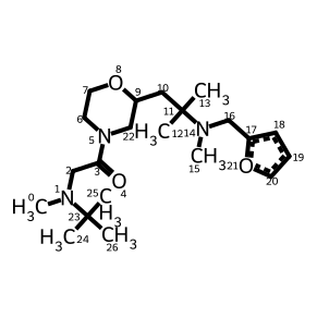 CN(CC(=O)N1CCOC(CC(C)(C)N(C)Cc2ccco2)C1)C(C)(C)C